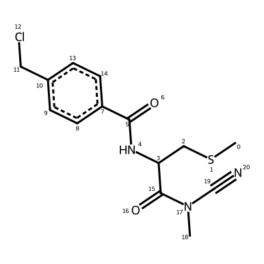 CSCC(NC(=O)c1ccc(CCl)cc1)C(=O)N(C)C#N